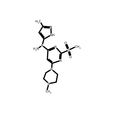 Cc1cc(N(N)c2cc(N3CCN(C)CC3)nc(S(C)(=O)=O)n2)[nH]n1